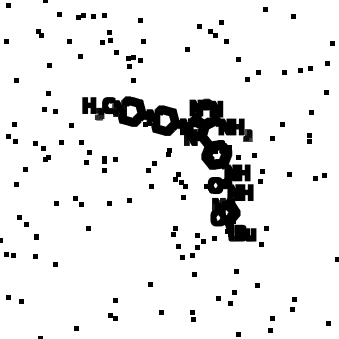 CN1CCC(N2CCC(n3nc(-c4ccc(NC(=O)Nc5cc(C(C)(C)C)on5)cc4)c4c(N)ncnc43)CC2)CC1